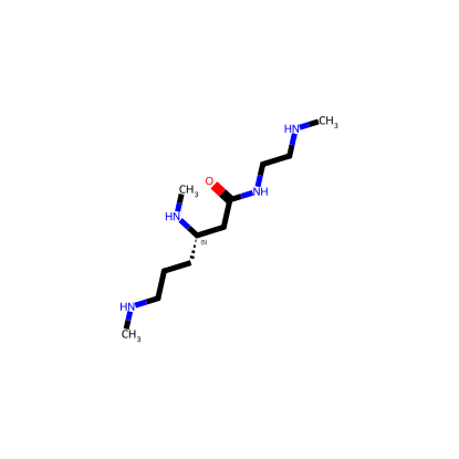 CNCCC[C@@H](CC(=O)NCCNC)NC